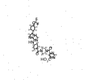 Cc1cc(Nc2nccn3c(-c4ccc(OC(F)F)cc4)cnc23)ccc1C(=O)N1CCN(C(=O)c2cc(C(=O)O)ncn2)CC1